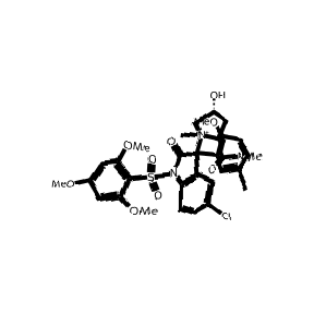 CNC(=O)[C@@H]1C[C@@H](O)C[N+]1(C)C1(c2cc(C)ccc2OC)C(=O)N(S(=O)(=O)c2c(OC)cc(OC)cc2OC)c2ccc(Cl)cc21